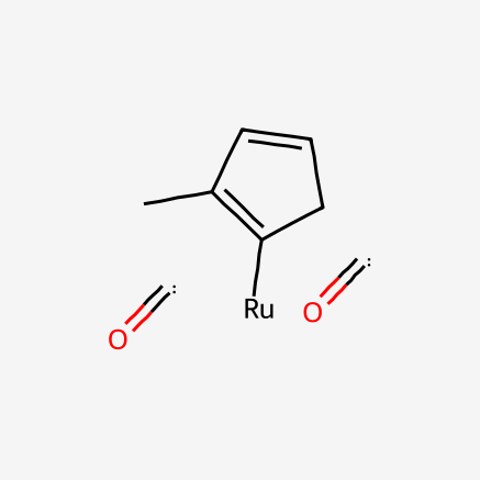 CC1=[C]([Ru])CC=C1.[C]=O.[C]=O